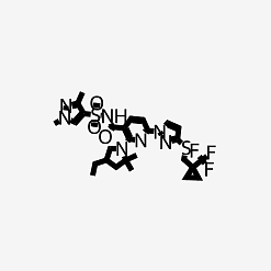 CCC1CN(c2nc(-n3ccc(SCC4(C(F)(F)F)CC4)n3)ccc2C(=O)NS(=O)(=O)c2cn(C)nc2C)C(C)(C)C1